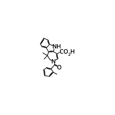 Cc1ccccc1C(=O)N1C=C(C(=O)O)c2[nH]c3ccccc3c2C(C)(C)C1